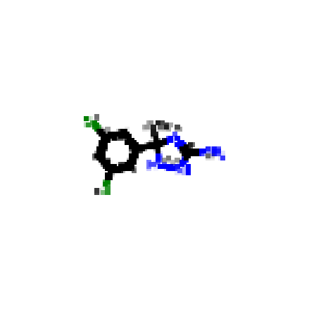 CNC1(c2cc(Cl)cc(Cl)c2)N=C(N)NN1